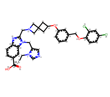 CCn1cncc1Cn1c(CN2CC3(CC(Oc4cccc(COc5ccc(Cl)cc5Cl)c4)C3)C2)nc2ccc(C(=O)O)cc21